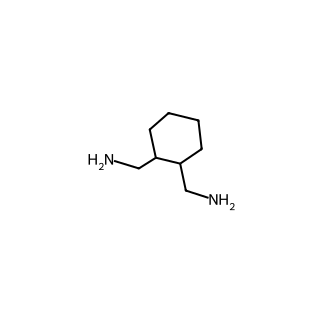 NCC1CCCCC1CN